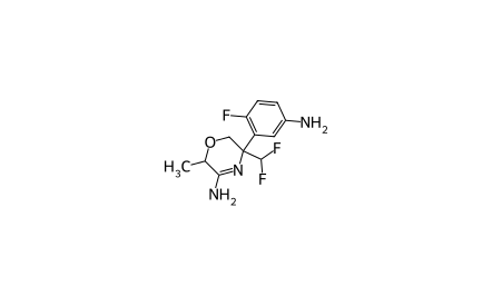 CC1OCC(c2cc(N)ccc2F)(C(F)F)N=C1N